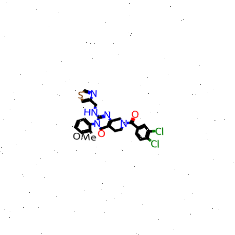 COc1ccccc1-n1c(NCc2cscn2)nc2c(c1=O)CCN(C(=O)c1ccc(Cl)c(Cl)c1)C2